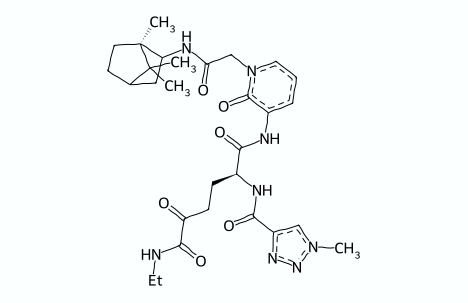 CCNC(=O)C(=O)CC[C@H](NC(=O)c1cn(C)nn1)C(=O)Nc1cccn(CC(=O)NC2CC3CC[C@]2(C)C3(C)C)c1=O